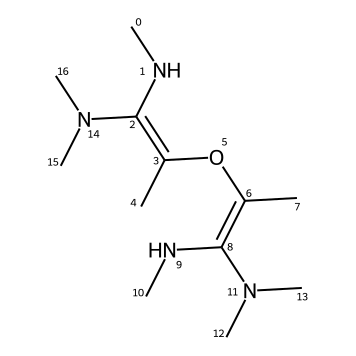 CNC(=C(C)OC(C)=C(NC)N(C)C)N(C)C